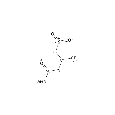 CNC(=O)CC(C[SH](=O)=O)C(F)(F)F